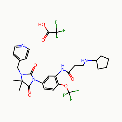 CC1(C)C(=O)N(c2ccc(OC(F)(F)F)c(NC(=O)CCNC3CCCC3)c2)C(=O)N1Cc1ccncc1.O=C(O)C(F)(F)F